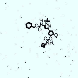 CO[C@@H]1C[C@H](c2cc(NC(=O)OCc3ccccc3)n(C(C)(C)C)n2)C[C@@H]1OC(=O)NC12CC(C1)C2